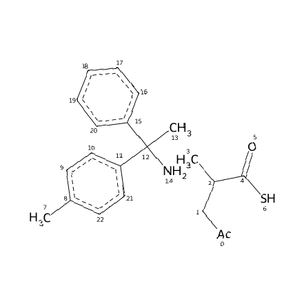 CC(=O)CC(C)C(=O)S.Cc1ccc(C(C)(N)c2ccccc2)cc1